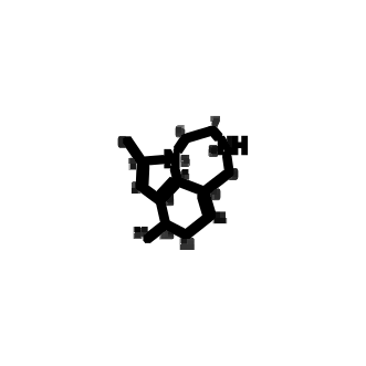 Cc1cc2c3n1CCNCC3=CCC2C